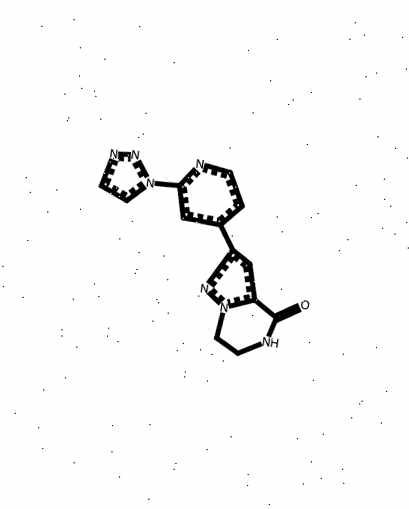 O=C1NCCn2nc(-c3ccnc(-n4ccnn4)c3)cc21